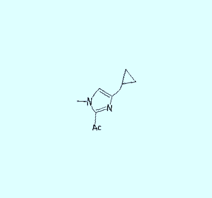 CC(=O)c1nc(C2CC2)cn1C